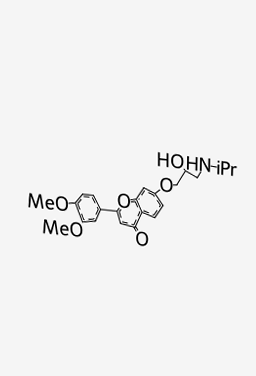 COc1ccc(-c2cc(=O)c3ccc(OCC(O)CNC(C)C)cc3o2)cc1OC